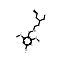 C=CCC(CC)CCNCc1c(OC)cc(O)cc1OC